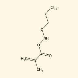 C=C(C)C(=O)ONOCCC